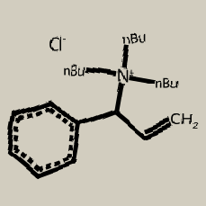 C=CC(c1ccccc1)[N+](CCCC)(CCCC)CCCC.[Cl-]